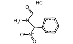 CN(C=O)C(c1ccccc1)[N+](=O)[O-].Cl